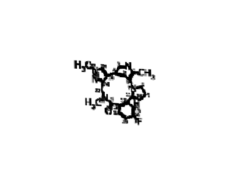 Cc1ncc2cc1N1CCC[C@@H]1c1cc(F)ccc1C(=O)N(C)Cc1nn(C)cc1-2